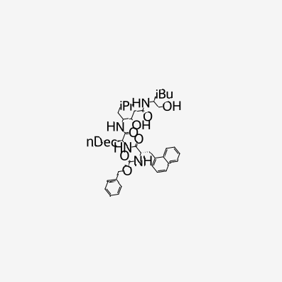 CCCCCCCCCC[C@H](NC(=O)[C@H](Cc1cccc2ccccc12)NC(=O)OCc1ccccc1)C(=O)NC(CC(C)C)C(O)CC(=O)N[C@H](CO)C(C)CC